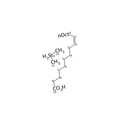 CCCCCCCC/C=C\CCCCCCCC(=O)O.C[SiH2]C